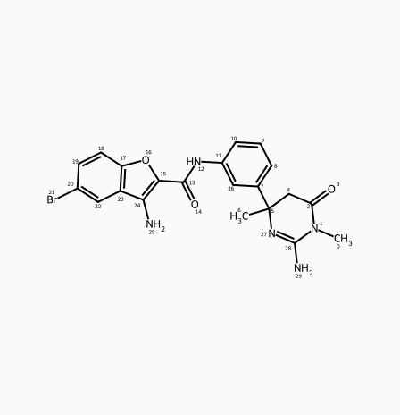 CN1C(=O)CC(C)(c2cccc(NC(=O)c3oc4ccc(Br)cc4c3N)c2)N=C1N